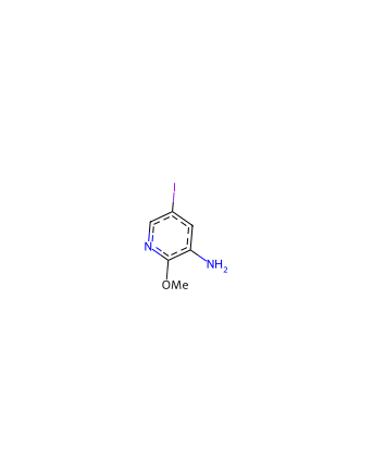 COc1ncc(I)cc1N